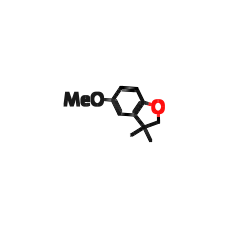 COc1ccc2c(c1)C(C)(C)CO2